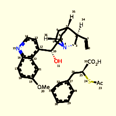 C=C[C@H]1C[N@]2CC[C@H]1C[C@H]2[C@H](O)c1ccnc2ccc(OC)cc12.CC(=O)S[C@@H](Cc1ccccc1)C(=O)O